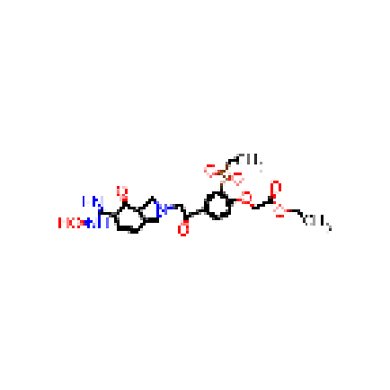 CCOC(=O)COc1ccc(C(=O)CN2C=C3C=CC(C(=N)NO)C(=O)C3C2)cc1S(=O)(=O)CC